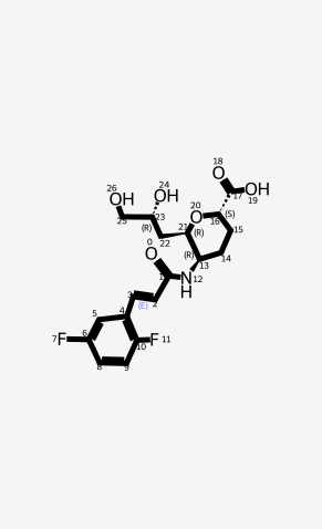 O=C(/C=C/c1cc(F)ccc1F)N[C@@H]1CC[C@@H](C(=O)O)O[C@@H]1C[C@@H](O)CO